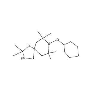 CC1(C)NCC2(CC(C)(C)N(OC3CCCCC3)C(C)(C)C2)O1